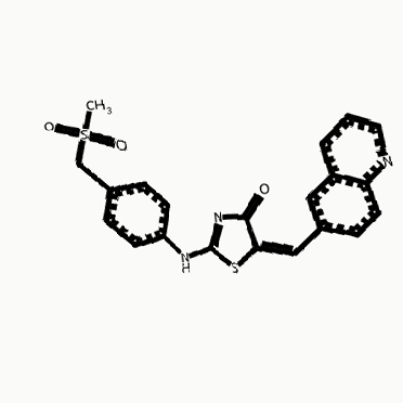 CS(=O)(=O)Cc1ccc(NC2=NC(=O)C(=Cc3ccc4ncccc4c3)S2)cc1